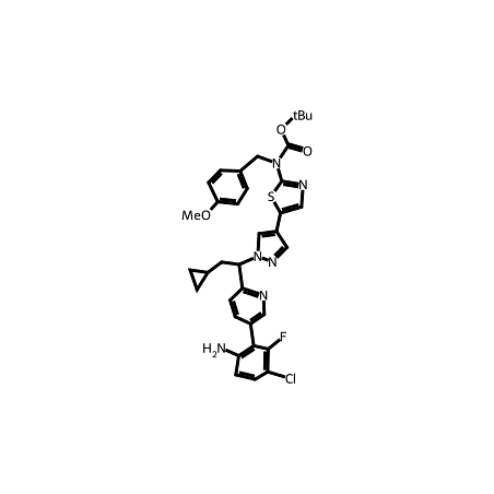 COc1ccc(CN(C(=O)OC(C)(C)C)c2ncc(-c3cnn(C(CC4CC4)c4ccc(-c5c(N)ccc(Cl)c5F)cn4)c3)s2)cc1